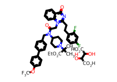 CCOC(=O)C(C)(C)N1CCC(N(Cc2ccc(-c3ccc(OC(F)(F)F)cc3)cc2)C(=O)Cn2c(CCc3ccc(F)cc3F)nc(=O)c3ccccc32)CC1.O=C(O)C(O)C(O)C(=O)O